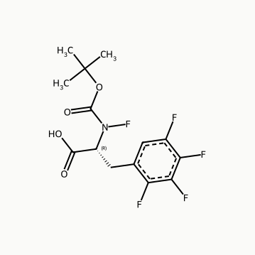 CC(C)(C)OC(=O)N(F)[C@H](Cc1cc(F)c(F)c(F)c1F)C(=O)O